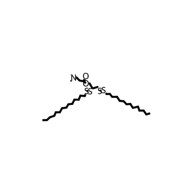 CCCCCCCCCCCCCCSSCC(COC(=O)CCN(C)C)SSCCCCCCCCCCCCCC